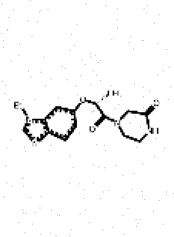 CCn1cnc2ccc(O[C@H](C)C(=O)N3CCNC(=O)C3)cc21